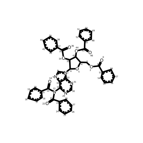 O=C(OCC1OC(n2cnc3c(N(C(=O)c4ccccc4)C(=O)c4ccccc4)ncnc32)C(OC(=O)c2ccccc2)C1OC(=O)c1ccccc1)c1ccccc1